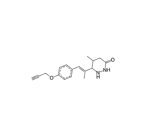 C#CCOc1ccc(/C=C(\C)C2NNC(=O)CC2C)cc1